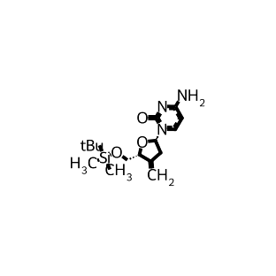 C=C1C[C@@H](n2ccc(N)nc2=O)O[C@H]1CO[Si](C)(C)C(C)(C)C